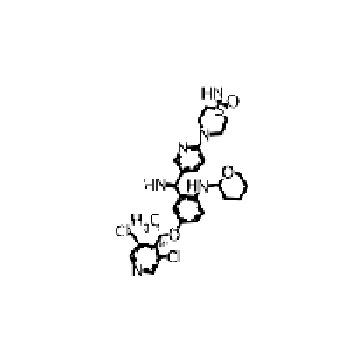 C[C@H](Oc1ccc(NC2CCCCO2)c(C(=N)c2ccc(N3CCS(=N)(=O)CC3)nc2)c1)c1c(Cl)cncc1Cl